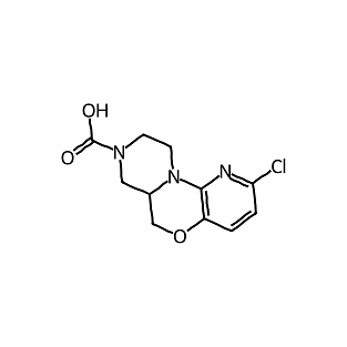 O=C(O)N1CCN2c3nc(Cl)ccc3OCC2C1